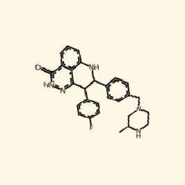 CC1CN(Cc2ccc(C3Nc4cccc5c(=O)[nH]nc(c45)C3c3ccc(F)cc3)cc2)CCN1